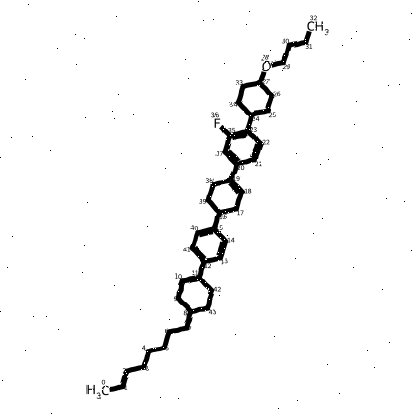 CCCCCCCCC1CCC(c2ccc(C3CC=C(c4ccc(C5CCC(OCCCC)CC5)c(F)c4)CC3)cc2)CC1